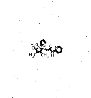 CC1=C(C)C(SCC(=O)Nc2ccccn2)[N+](C)(c2cccs2)C1=O